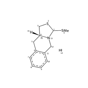 CSC1SC[C@H]2Cc3ccccc3CN12.I